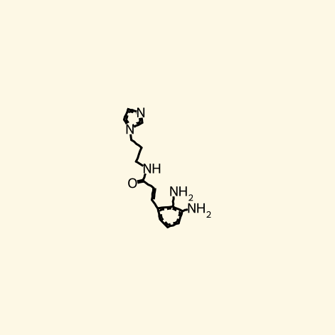 Nc1cccc(C=CC(=O)NCCCn2ccnc2)c1N